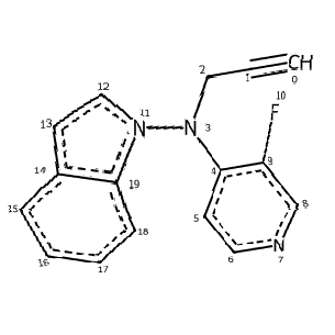 C#CCN(c1ccncc1F)n1ccc2ccccc21